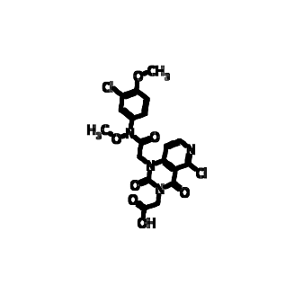 COc1ccc(N(OC)C(=O)Cn2c(=O)n(CC(=O)O)c(=O)c3c(Cl)nccc32)cc1Cl